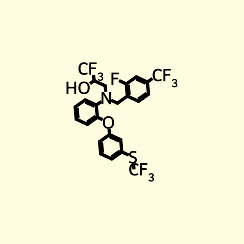 OC(CN(Cc1ccc(C(F)(F)F)cc1F)c1ccccc1Oc1cccc(SC(F)(F)F)c1)C(F)(F)F